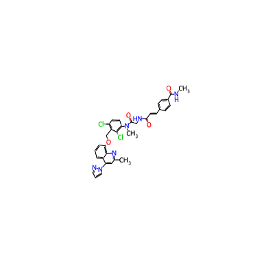 CNC(=O)c1ccc(C=CC(=O)NCC(=O)N(C)c2ccc(Cl)c(COc3cccc4c(-n5cccn5)cc(C)nc34)c2Cl)cc1